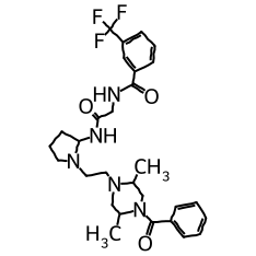 CC1CN(C(=O)c2ccccc2)C(C)CN1CCN1CCCC1NC(=O)CNC(=O)c1cccc(C(F)(F)F)c1